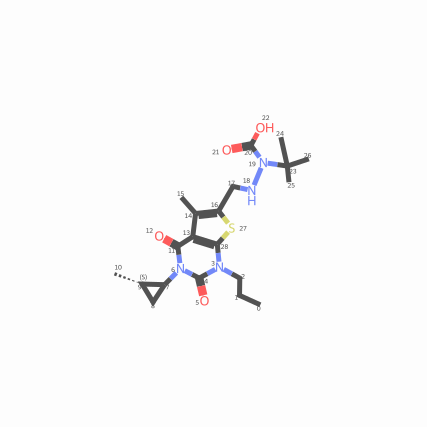 CCCn1c(=O)n(C2C[C@@H]2C)c(=O)c2c(C)c(CNN(C(=O)O)C(C)(C)C)sc21